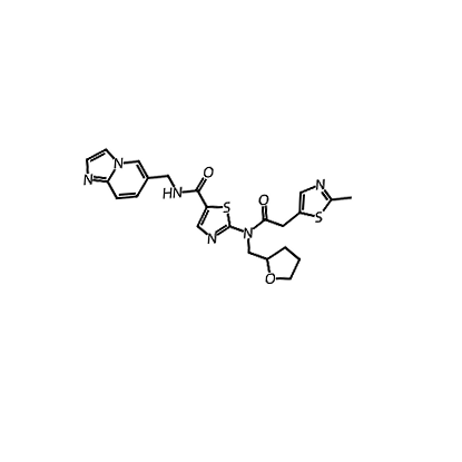 Cc1ncc(CC(=O)N(CC2CCCO2)c2ncc(C(=O)NCc3ccc4nccn4c3)s2)s1